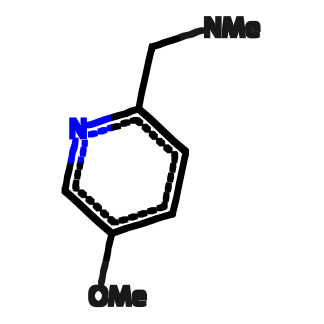 CNCc1ccc(OC)cn1